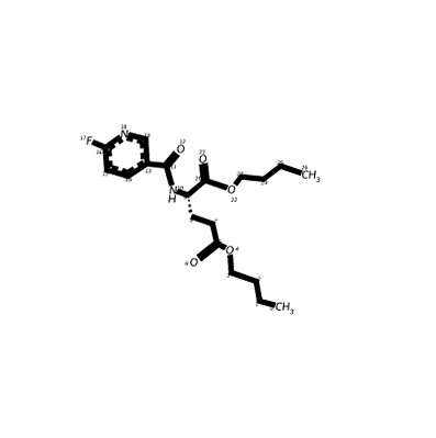 CCCCOC(=O)CC[C@H](NC(=O)c1ccc(F)nc1)C(=O)OCCCC